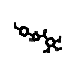 CCc1ccc(-c2nc(C(=O)c3cc(OC)c(OC)c(OC)c3)c[nH]2)cc1